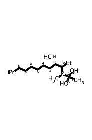 CCC(CCCCCCCC(C)C)N(C)C(C)(O)O.Cl